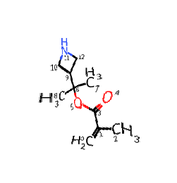 C=C(C)C(=O)OC(C)(C)C1CNC1